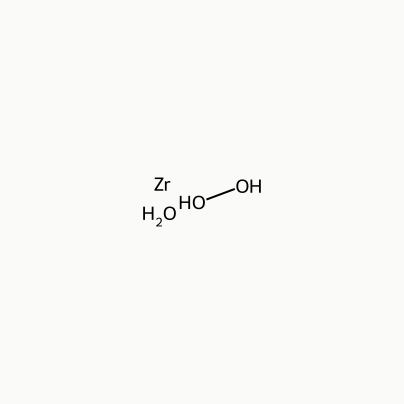 O.OO.[Zr]